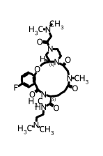 CN(C)CCNC(=O)[C@@H]1CCC(=O)N(C)CC(=O)N2CCN(C(=O)CN(C)C)C[C@H]2COc2ccc(F)cc2C(=O)N1C